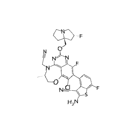 C[C@H]1COc2c(Cl)c(-c3ccc(F)c4sc(N)c(C#N)c34)c(F)c3nc(OC[C@@]45CCCN4C[C@H](F)C5)nc(c23)N1CC#N